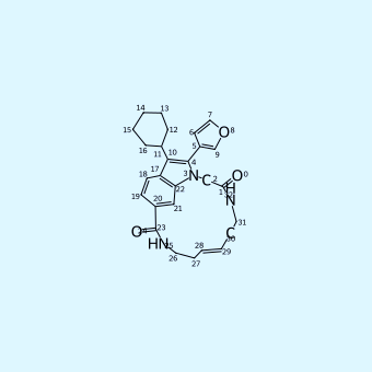 O=C1Cn2c(-c3ccoc3)c(C3CCCCC3)c3ccc(cc32)C(=O)NCC/C=C/CCN1